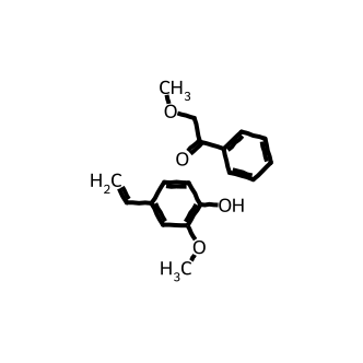 C=Cc1ccc(O)c(OC)c1.COCC(=O)c1ccccc1